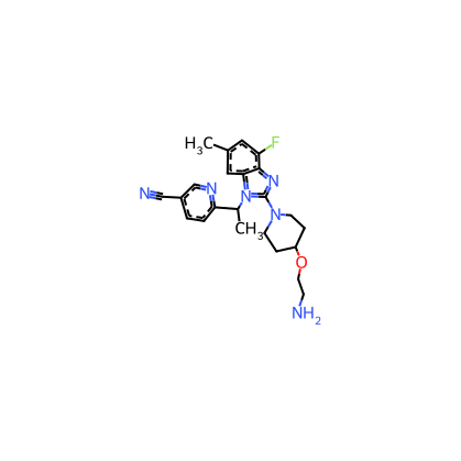 Cc1cc(F)c2nc(N3CCC(OCCN)CC3)n(C(C)c3ccc(C#N)cn3)c2c1